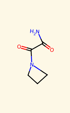 NC(=O)C(=O)N1CCC1